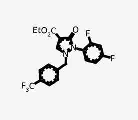 CCOC(=O)c1cn(Cc2ccc(C(F)(F)F)cc2)n(-c2ccc(F)cc2F)c1=O